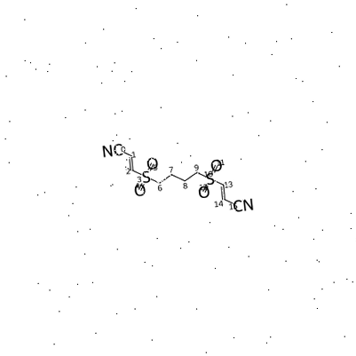 N#CC=CS(=O)(=O)CCCCS(=O)(=O)C=CC#N